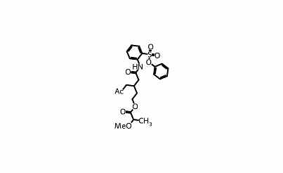 COC(C)C(=O)OCCC(CC(C)=O)CC(=O)Nc1ccccc1S(=O)(=O)Oc1ccccc1